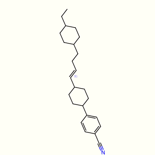 CCC1CCC(CC/C=C/C2CCC(c3ccc(C#N)cc3)CC2)CC1